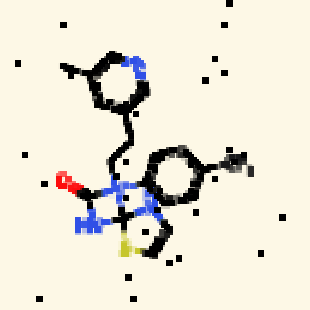 Cc1cncc(CC[N+]2(c3ccc(C(F)(F)F)cc3)C(=O)NC23NC=CS3)c1